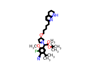 COc1c(C(C(=O)OC(C)(C)C)N2CC[C@@H](OCCCCCc3ccc4c(n3)NCCC4)C2)cc(C(C)C)c(C#N)c1F